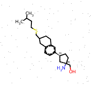 CC(C)CCSCC1CCc2cc([C@H]3CC[C@](N)(CO)C3)ccc2C1